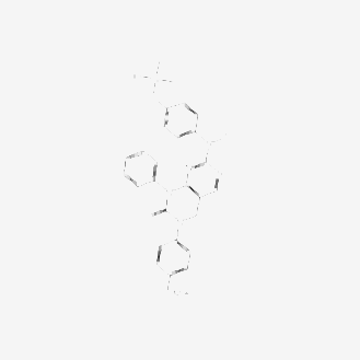 COc1ccc(N2Cc3cnc(N(C(C)=O)c4ccc(O[Si](C)(C)C(C)(C)C)cc4)nc3N(c3ccccc3)C2=O)cc1